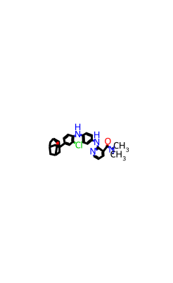 CN(C)C(=O)c1cccnc1Nc1ccc(Nc2ccc(C34CC5CC(CC(C5)C3)C4)cc2Cl)cc1